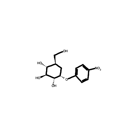 O=[N+]([O-])c1ccc(O[C@H]2C[C@H](CO)[C@@H](O)[C@H](O)[C@H]2O)cc1